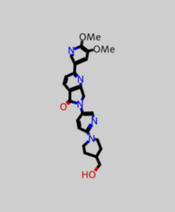 COc1cc(-c2ccc3c(n2)CN(c2ccc(N4CCC(CO)CC4)nc2)C3=O)cnc1OC